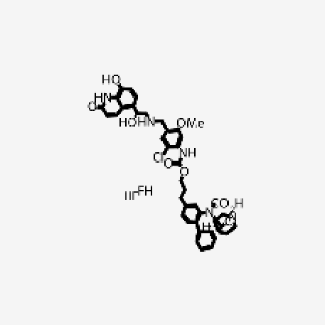 COc1cc(NC(=O)OCCCc2ccc(-c3ccccc3)c(N(C(=O)O)[C@H]3CN4CCC3CC4)c2)c(Cl)cc1CNC[C@@H](O)c1ccc(O)c2[nH]c(=O)ccc12.F.F